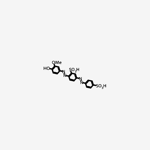 COc1cc(N=Nc2ccc(/N=N/c3ccc(S(=O)(=O)O)cc3)cc2S(=O)(=O)O)ccc1O